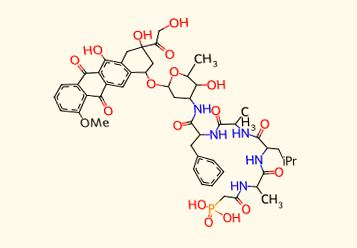 COc1cccc2c1C(=O)c1cc3c(c(O)c1C2=O)CC(O)(C(=O)CO)CC3OC1CC(NC(=O)C(Cc2ccccc2)NC(=O)C(C)NC(=O)C(CC(C)C)NC(=O)C(C)NC(=O)CP(=O)(O)O)C(O)C(C)O1